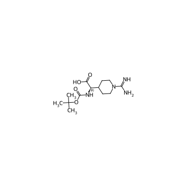 CC(C)(C)OC(=O)N[C@@H](C(=O)O)C1CCN(C(=N)N)CC1